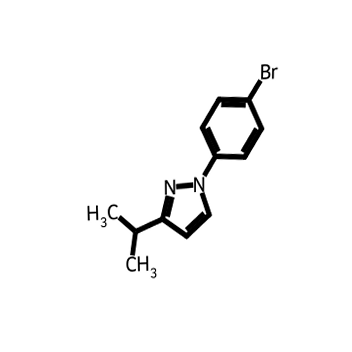 CC(C)c1ccn(-c2ccc(Br)cc2)n1